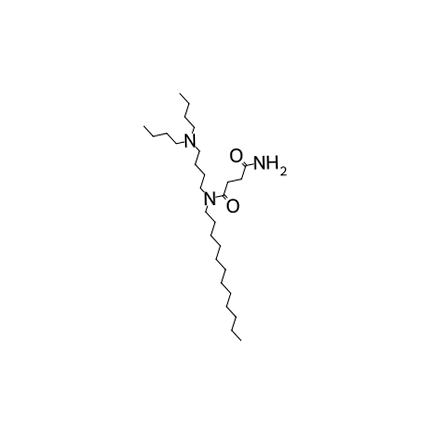 CCCCCCCCCCCCN(CCCCN(CCCC)CCCC)C(=O)CCC(N)=O